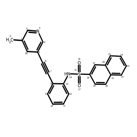 Cc1cncc(C#Cc2ccccc2NS(=O)(=O)c2ccc3ccccc3c2)c1